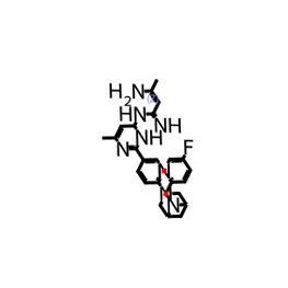 CC1=CC(NC(=N)/C=C(/C)N)NC(c2ccc(N3CC4CC(C3)N4Cc3ccc(F)cn3)nc2)=N1